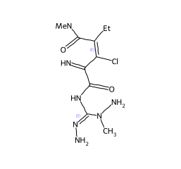 CC/C(C(=O)NC)=C(\Cl)C(=N)C(=O)N/C(=N/N)N(C)N